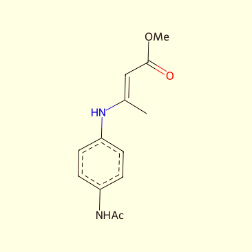 COC(=O)/C=C(\C)Nc1ccc(NC(C)=O)cc1